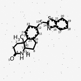 C[C@]12CCC(=O)N[C@@H]1CCc1cc(Sc3nc4ccccc4s3)ccc12